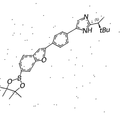 C[C@H](c1ncc(-c2ccc(-c3cc4ccc(B5OC(C)(C)C(C)(C)O5)cc4o3)cc2)[nH]1)C(C)(C)C